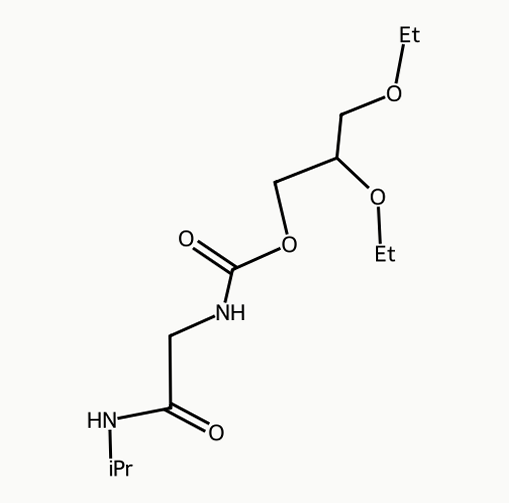 CCOCC(COC(=O)NCC(=O)NC(C)C)OCC